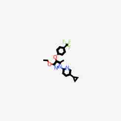 CCOc1nn(-c2ccc(C3CC3)cn2)c(C)c1Oc1ccc(C(F)(F)F)cc1